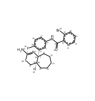 NC1=N[C@@]2(c3cc(NC(=O)c4ncccc4Br)ccc3F)CCCCC[C@H]2CS1